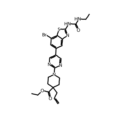 C=CCC1(C(=O)OCC)CCN(c2ncc(-c3cc(Br)c4sc(NC(=O)NCC)nc4c3)cn2)CC1